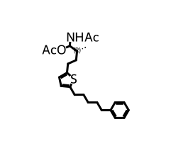 CC(=O)NC(OC(C)=O)[C@H](C)CCc1ccc(CCCCCc2ccccc2)s1